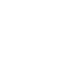 O=C(O)c1cnn2c(Br)nnc2c1